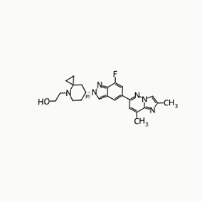 Cc1cn2nc(-c3cc(F)c4nn([C@@H]5CCN(CCO)C6(CC6)C5)cc4c3)cc(C)c2n1